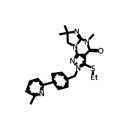 CCSc1c2c(nn1Cc1ccc(-c3cccc(C)n3)cc1)N1CC(C)(C)N=C1N(C)C2=O